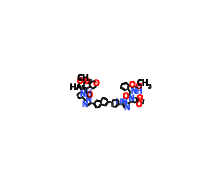 COC(=O)NC(C(=O)N1CC2(CC1c1ncc(-c3ccc(-c4ccc5cc(-c6cnc(C7CCCN7C(=O)C([AsH]C(=O)OC)C7CCOCC7)[nH]6)ccc5c4)cc3)[nH]1)OCCO2)c1ccccc1